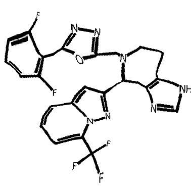 Fc1cccc(F)c1-c1nnc(N2CCc3[nH]cnc3[C@H]2c2cc3cccc(C(F)(F)F)n3n2)o1